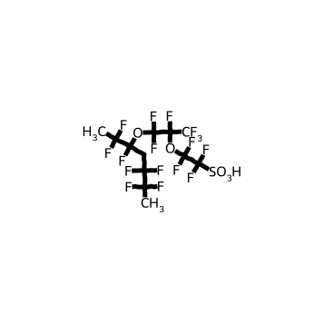 CC(F)(F)C(F)(F)CC(F)(OC(F)(F)C(F)(OC(F)(F)C(F)(F)S(=O)(=O)O)C(F)(F)F)C(C)(F)F